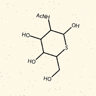 CC(=O)NC1C(O)SC(CO)C(O)C1O